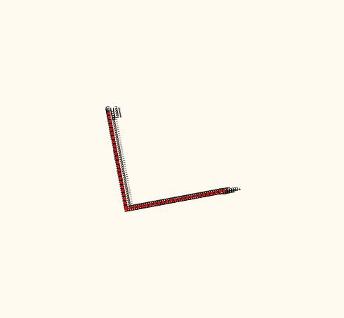 [Cu+2].[Cu+2].[Cu+2].[Cu+2].[Cu+2].[Cu+2].[Cu+2].[Cu+2].[Cu+2].[Cu+2].[S-2].[S-2].[S-2].[S-2].[S-2].[S-2].[S-2].[S-2].[S-2].[S-2].[S-2].[S-2].[S-2].[S-2].[S-2].[S-2].[S-2].[S-2].[S-2].[S-2].[S-2].[S-2].[S-2].[S-2].[S-2].[S-2].[S-2].[S-2].[S-2].[S-2].[S-2].[S-2].[S-2].[S-2].[S-2].[S-2].[S-2].[S-2].[S-2].[S-2].[S-2].[S-2].[S-2].[S-2].[S-2].[S-2].[S-2].[S-2].[S-2].[S-2].[S-2].[S-2].[S-2].[S-2].[S-2].[S-2].[S-2].[S-2].[S-2].[S-2].[S-2].[S-2].[S-2].[S-2].[S-2].[S-2].[S-2].[S-2].[S-2].[S-2].[S-2].[S-2].[S-2].[S-2].[S-2].[S-2].[S-2].[S-2].[S-2].[S-2].[S-2].[S-2].[S-2].[S-2].[S-2].[S-2].[S-2].[S-2].[S-2].[S-2]